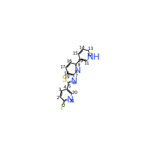 Fc1ccc(-c2nc3nc(C4=CNCC=C4)ccc3s2)cn1